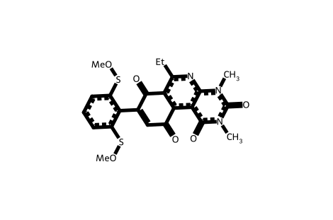 CCc1nc2c(c3c1C(=O)C(c1c(SOC)cccc1SOC)=CC3=O)c(=O)n(C)c(=O)n2C